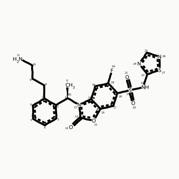 C[C@H](c1ccccc1CCCN)n1c(=O)oc2cc(S(=O)(=O)Nc3ncns3)c(F)cc21